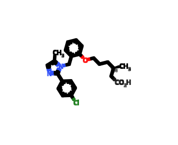 Cc1cnc(-c2ccc(Cl)cc2)n1Cc1ccccc1OCCC[C@@H](C)CC(=O)O